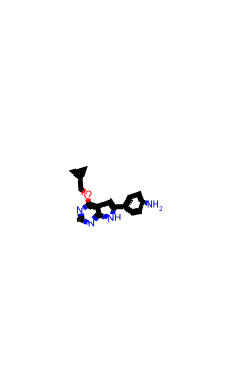 Nc1ccc(-c2cc3c(OCC4CC4)ncnc3[nH]2)cc1